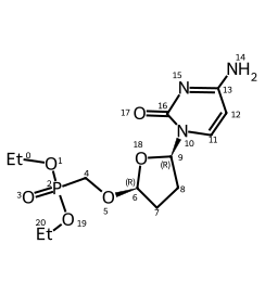 CCOP(=O)(CO[C@@H]1CC[C@H](n2ccc(N)nc2=O)O1)OCC